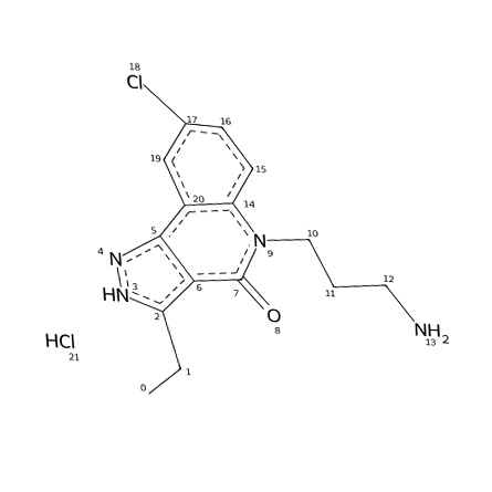 CCc1[nH]nc2c1c(=O)n(CCCN)c1ccc(Cl)cc21.Cl